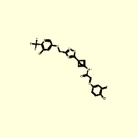 O=C(COc1ccc(Cl)c(F)c1)NC12CC(c3nc(COc4cnc(C(F)(F)F)c(Cl)c4)no3)(C1)C2